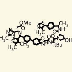 COC(=O)C[C@@H]1N=C(c2ccc(-c3ccc4nc(C(=O)NC(C(=O)N5C[C@H](O)C[C@H]5C(=O)N[C@@H](C)c5ccc(-c6scnc6C)cc5)C(C)(C)C)oc4c3)cc2)c2c(sc(C)c2C)-n2c(C)nnc21